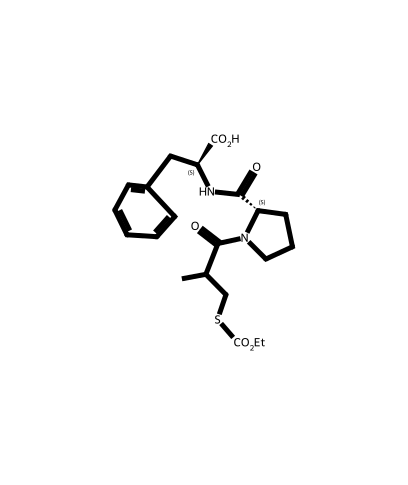 CCOC(=O)SCC(C)C(=O)N1CCC[C@H]1C(=O)N[C@@H](Cc1ccccc1)C(=O)O